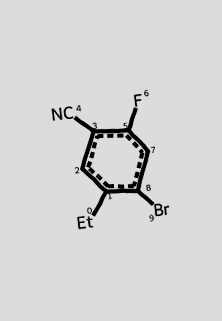 CCc1cc(C#N)c(F)cc1Br